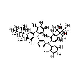 [2H]c1c([2H])c([2H])c2c(c1[2H])c1c([2H])c(C(C([2H])([2H])[2H])(C([2H])([2H])[2H])C([2H])([2H])C([2H])([2H])[2H])c([2H])c([2H])c1n2-c1cccc(-n2c3c([2H])c([2H])c([2H])c([2H])c3c3c([2H])c(C(C([2H])([2H])[2H])(C([2H])([2H])[2H])C([2H])([2H])C([2H])([2H])[2H])c([2H])c([2H])c32)c1